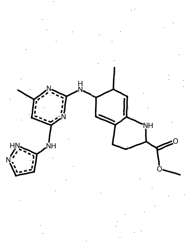 COC(=O)C1CCC2=CC(Nc3nc(C)cc(Nc4ccn[nH]4)n3)C(C)C=C2N1